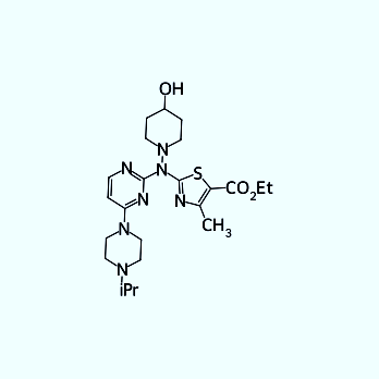 CCOC(=O)c1sc(N(c2nccc(N3CCN(C(C)C)CC3)n2)N2CCC(O)CC2)nc1C